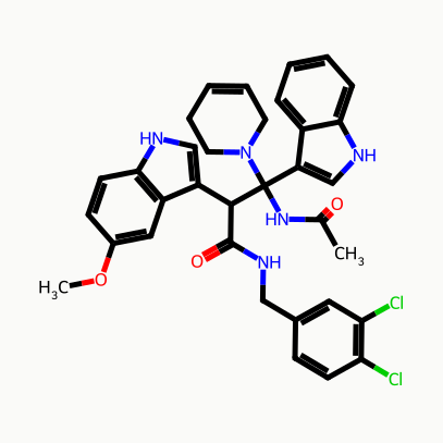 COc1ccc2[nH]cc(C(C(=O)NCc3ccc(Cl)c(Cl)c3)C(NC(C)=O)(c3c[nH]c4ccccc34)N3CC=CCC3)c2c1